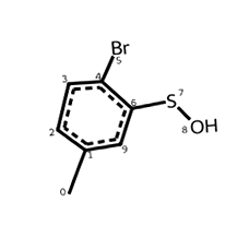 Cc1ccc(Br)c(SO)c1